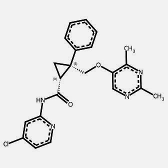 Cc1ncc(OC[C@@]2(c3ccccc3)C[C@H]2C(=O)Nc2cc(Cl)ccn2)c(C)n1